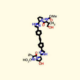 COC(=O)N[C@H](C(=O)N1CCCC1c1nc(-c2ccc(C#Cc3ccc(-c4c[nH]c([C@@H]5C[C@@H](O)CN5C(=O)[C@@H](NC(=O)O)C(C)C)n4)cc3)cc2)c[nH]1)C(C)CO